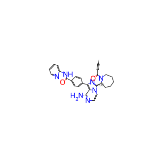 CC#CC(=O)N1CCCCC[C@H]1c1nc(-c2ccc(C(=O)Nc3ccccn3)cc2)c2c(N)nccn12